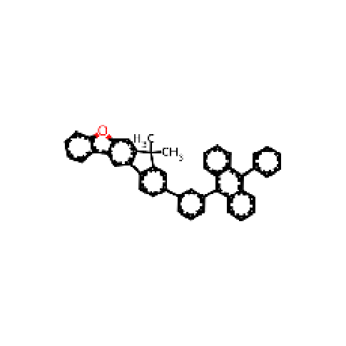 CC1(C)c2cc(-c3cccc(-c4c5ccccc5c(-c5ccccc5)c5ccccc45)c3)ccc2-c2cc3c(cc21)oc1ccccc13